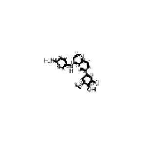 COc1cc(-c2ccc3nccc(Nc4ccc(N)nc4)c3c2)cc(Cl)c1O